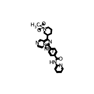 CS(=O)(=O)N1CCCC(C2=C3C=NC=C[N+]3(N)C(c3ccc(C(=O)Nc4ccccn4)cc3)=N2)C1